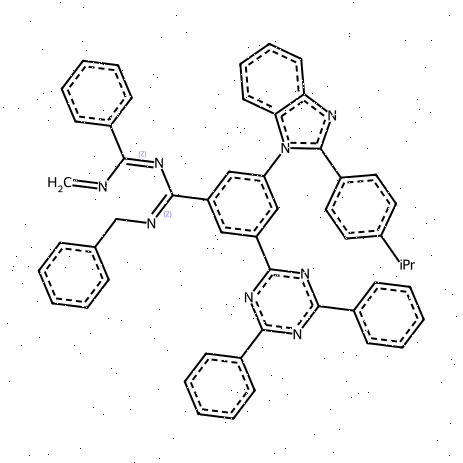 C=N/C(=N\C(=N/Cc1ccccc1)c1cc(-c2nc(-c3ccccc3)nc(-c3ccccc3)n2)cc(-n2c(-c3ccc(C(C)C)cc3)nc3ccccc32)c1)c1ccccc1